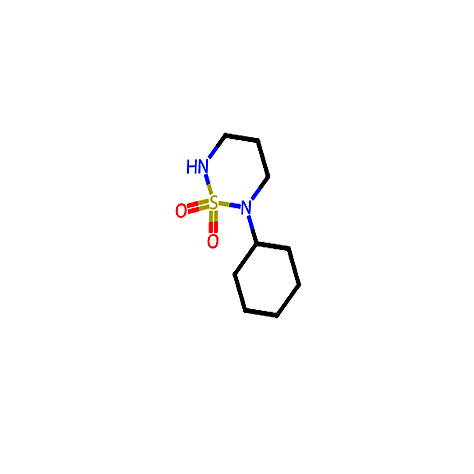 O=S1(=O)NCCCN1C1CCCCC1